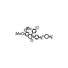 CC[C@@H](C)Oc1cc2c(cc1OC)CC(=O)N(c1ccc(N(C)CC3CCC(N(C)C)CC3)cc1)[C@@H]2c1ccc(Cl)cc1